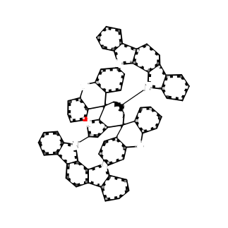 c1ccc2c(c1)Oc1ccccc1C21c2cc(-n3c4ccccc4c4ccc5c6ccccc6oc5c43)oc2C2(c3ccccc3Oc3ccccc32)c2cc(-n3c4ccccc4c4ccc5c6ccccc6oc5c43)oc21